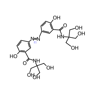 O=C(NC(CO)(CO)CO)c1cc(/N=N/c2ccc(O)c(C(=O)NC(CO)(CO)CO)c2)ccc1O